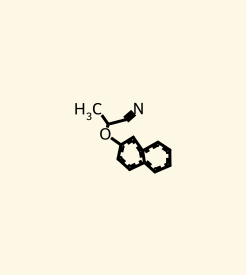 CC(C#N)Oc1ccc2ccccc2c1